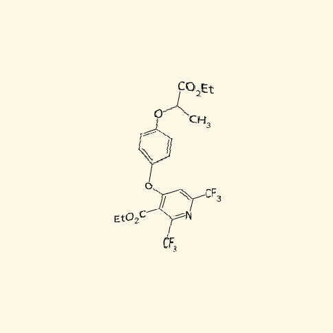 CCOC(=O)c1c(Oc2ccc(OC(C)C(=O)OCC)cc2)cc(C(F)(F)F)nc1C(F)(F)F